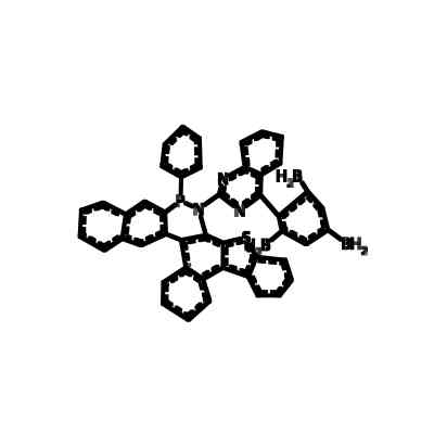 Bc1cc(B)c(-c2nc(N3c4c(c5ccccc5c5c4sc4ccccc45)-c4cc5ccccc5cc4P3c3ccccc3)nc3ccccc23)c(B)c1